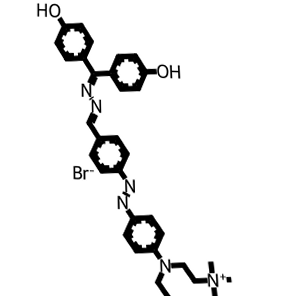 CCN(CC[N+](C)(C)C)c1ccc(N=Nc2ccc(/C=N/N=C(c3ccc(O)cc3)c3ccc(O)cc3)cc2)cc1.[Br-]